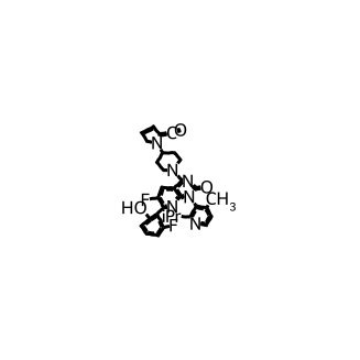 Cc1ccnc(C(C)C)c1-n1c(=O)nc(N2CCC(N3CC=CC3=C=O)CC2)c2cc(F)c(-c3c(O)cccc3F)nc21